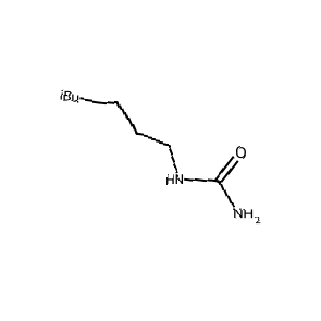 CCC(C)CCCNC(N)=O